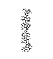 CC1(C)c2ccccc2-c2cc(-c3c4ccccc4c(-c4ccc5c(c4)oc4ccc6cc(CC7(C)c8ccccc8-c8c(-c9c%10ccccc%10c(-c%10ccc%11c(c%10)oc%10ccc%12ccc%13c%14ccccc%14oc%13c%12c%10%11)c%10ccccc9%10)cccc87)c7oc8ccccc8c7c6c45)c4ccccc34)ccc21